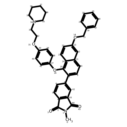 CN1C(=O)c2ccc(-c3ccc4cc(OCc5ccccc5)ccc4c3Oc3ccc(OCCN4CCCCC4)cc3)cc2C1=O